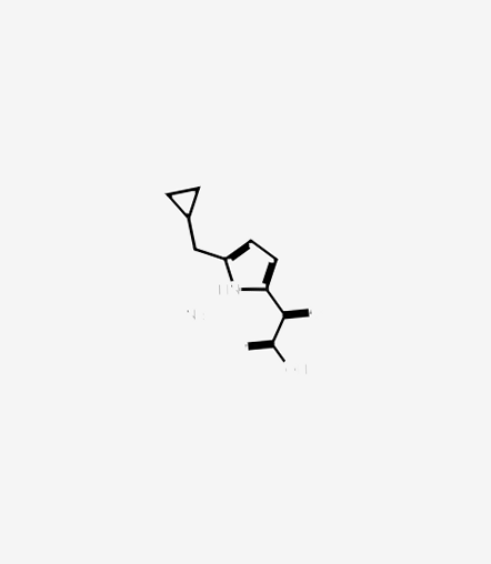 O=C(O)C(=O)c1ccc(CC2CC2)[nH]1.[NaH]